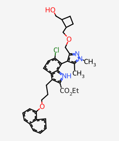 CCOC(=O)c1[nH]c2c(-c3c(COCC4CCC4CO)nn(C)c3C)c(Cl)ccc2c1CCCOc1cccc2ccccc12